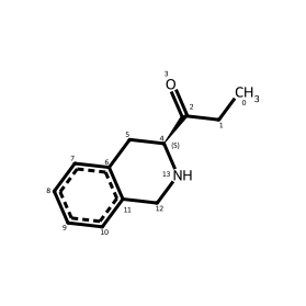 CCC(=O)[C@@H]1Cc2ccccc2CN1